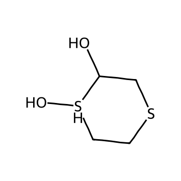 OC1CSCC[SH]1O